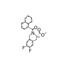 COC(=O)[C@@H]1Cc2cc(F)c(F)cc2CN1C(=O)c1cccc2ccccc12